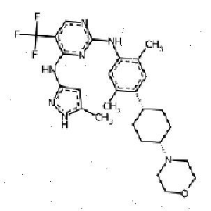 Cc1cc(Nc2nc(Nc3cc(C)c([C@H]4CC[C@@H](N5CCOCC5)CC4)cc3C)ncc2C(F)(F)F)n[nH]1